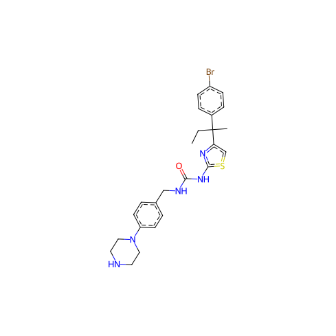 CCC(C)(c1ccc(Br)cc1)c1csc(NC(=O)NCc2ccc(N3CCNCC3)cc2)n1